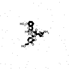 Nc1nc(C(NC(O)N2CCN(CCO)C(=O)C2=O)C(=O)N[C@H]2Cc3cccc(C(=O)O)c3OB2O)cs1